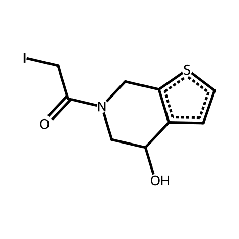 O=C(CI)N1Cc2sccc2C(O)C1